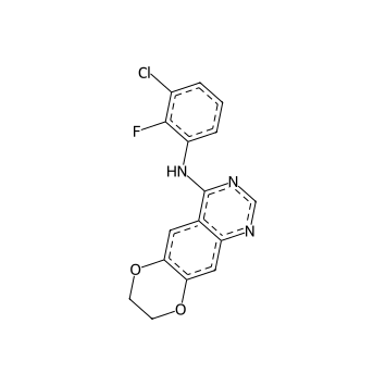 Fc1c(Cl)cccc1Nc1ncnc2cc3c(cc12)OCCO3